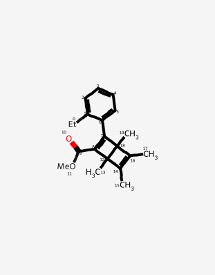 CCc1ccccc1C1=C(C(=O)OC)C2(C)C(C)=C(C)C12C